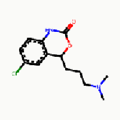 CN(C)CCCC1OC(=O)Nc2ccc(Cl)cc21